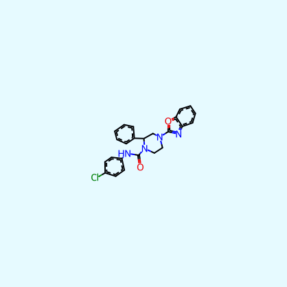 O=C(Nc1ccc(Cl)cc1)N1CCN(c2nc3ccccc3o2)CC1c1ccccc1